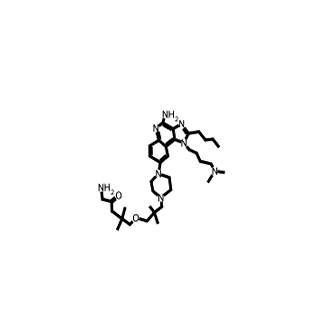 CCCCc1nc2c(N)nc3ccc(N4CCN(CC(C)(C)COCC(C)(C)CC(=O)CN)CC4)cc3c2n1CCCCN(C)C